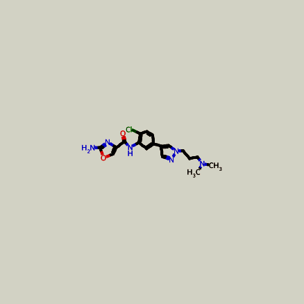 CN(C)CCCn1cc(-c2ccc(Cl)c(NC(=O)c3coc(N)n3)c2)cn1